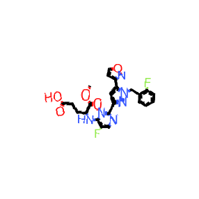 COC(=O)C(CCC(=O)O)Nc1nc(-c2cc(-c3ccon3)n(Cc3ccccc3F)n2)ncc1F